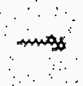 CCc1cccc(Cl)c1-c1cccc(OCCCCCCCCl)c1